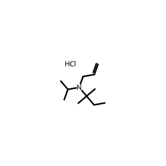 C=CCN(C(C)C)C(C)(C)CC.Cl